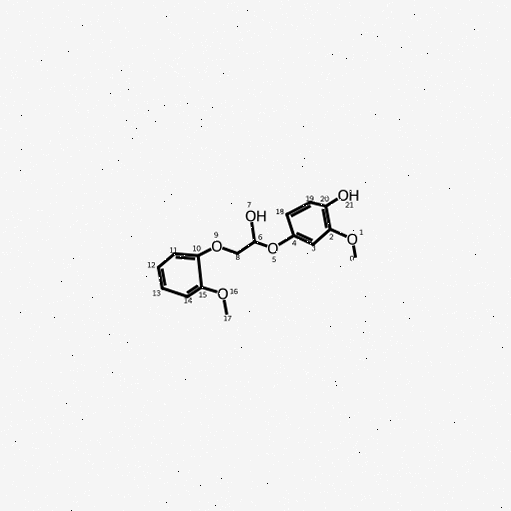 COc1cc(OC(O)COc2ccccc2OC)ccc1O